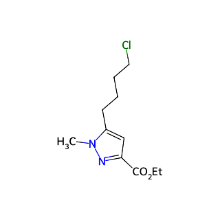 CCOC(=O)c1cc(CCCCCl)n(C)n1